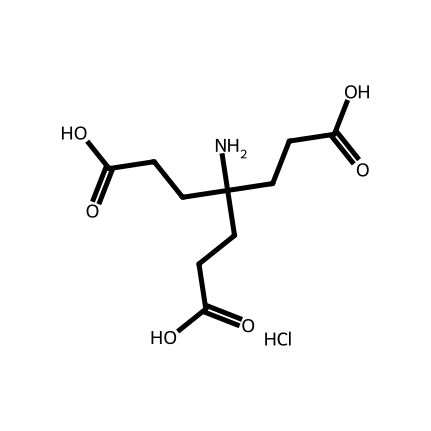 Cl.NC(CCC(=O)O)(CCC(=O)O)CCC(=O)O